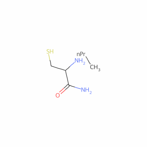 CCCC.NC(=O)C(N)CS